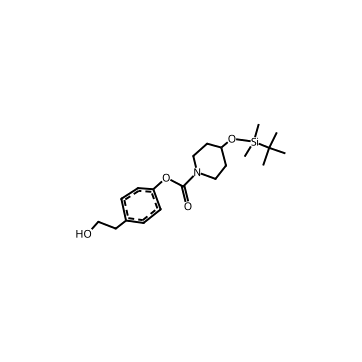 CC(C)(C)[Si](C)(C)OC1CCN(C(=O)Oc2ccc(CCO)cc2)CC1